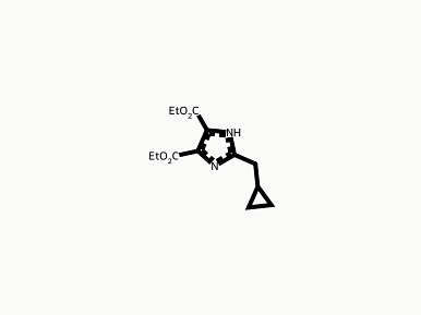 CCOC(=O)c1nc(CC2CC2)[nH]c1C(=O)OCC